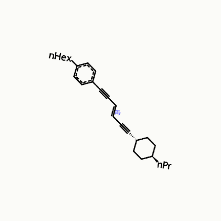 CCCCCCc1ccc(C#C/C=C/C#C[C@H]2CC[C@H](CCC)CC2)cc1